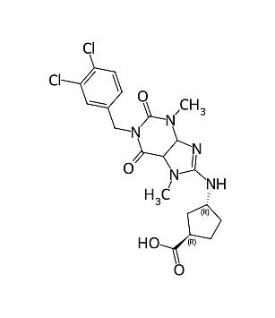 CN1C(=O)N(Cc2ccc(Cl)c(Cl)c2)C(=O)C2C1N=C(N[C@@H]1CC[C@@H](C(=O)O)C1)N2C